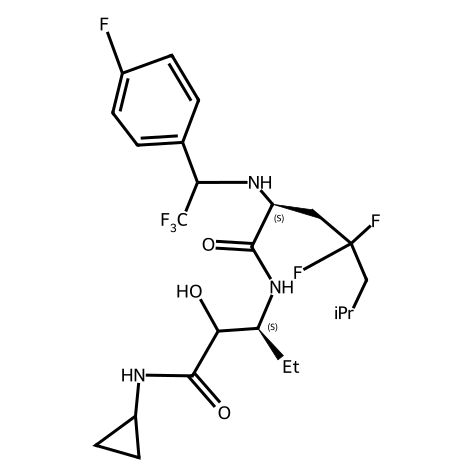 CC[C@H](NC(=O)[C@H](CC(F)(F)CC(C)C)NC(c1ccc(F)cc1)C(F)(F)F)C(O)C(=O)NC1CC1